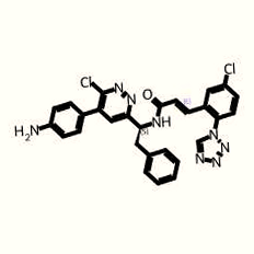 Nc1ccc(-c2cc([C@H](Cc3ccccc3)NC(=O)/C=C/c3cc(Cl)ccc3-n3cnnn3)nnc2Cl)cc1